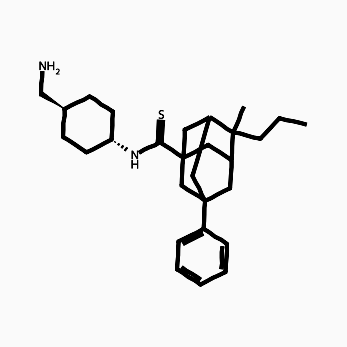 CCCC1(C)C2CC3(C(=S)N[C@H]4CC[C@H](CN)CC4)CC1CC(c1ccccc1)(C2)C3